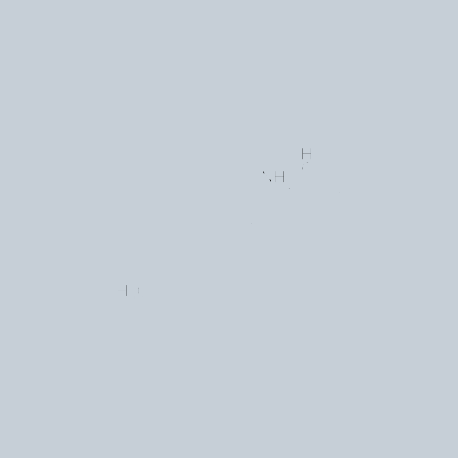 C/C=C\c1ccc(C)cc1N